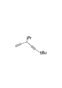 C#CC(C#CC([CH2])(C)C)C(C)C